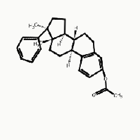 CC(=O)Oc1ccc2c(c1)CC[C@@H]1[C@@H]2CC[C@@]2(C)[C@H]1CC[C@]2(C)c1ccccc1